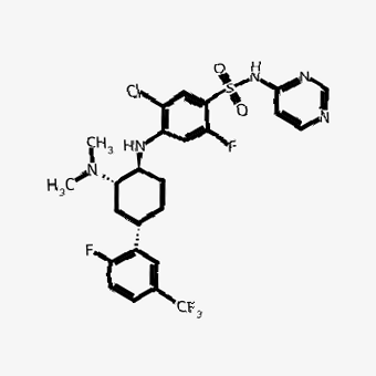 CN(C)[C@H]1C[C@@H](c2cc(C(F)(F)F)ccc2F)CC[C@@H]1Nc1cc(F)c(S(=O)(=O)Nc2ccncn2)cc1Cl